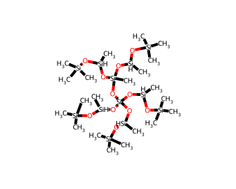 C[SiH](O[Si](C)(C)C)O[Si](C)(O[SiH](C)O[Si](C)(C)C)O[Si](O[SiH](C)O[Si](C)(C)C)(O[SiH](C)O[Si](C)(C)C)O[SiH](C)O[Si](C)(C)C